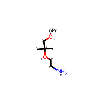 CCCOCC(C)(C)OCCN